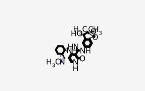 C/N=C\[C@H]1CCCC[C@@H]1Nc1cc[nH]c(=O)c1C(=N)Nc1ccc2c(c1)C(O)C(C)(C)S2(=O)=O